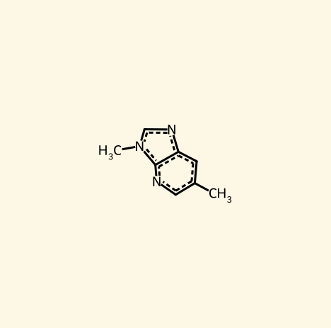 Cc1cnc2c(c1)ncn2C